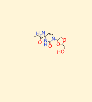 CCC(=O)[C@]1(N)C=CN(C2COC(CO)O2)C(=O)N1